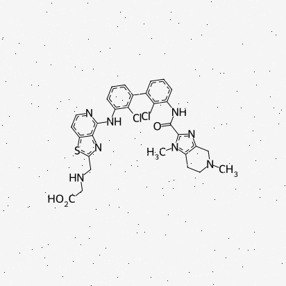 CN1CCc2c(nc(C(=O)Nc3cccc(-c4cccc(Nc5nccc6sc(CNCC(=O)O)nc56)c4Cl)c3Cl)n2C)C1